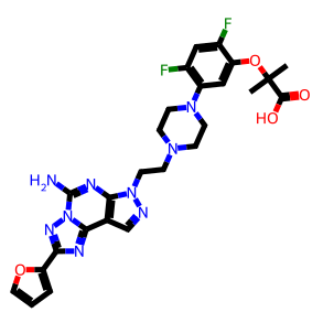 CC(C)(Oc1cc(N2CCN(CCn3ncc4c3nc(N)n3nc(-c5ccco5)nc43)CC2)c(F)cc1F)C(=O)O